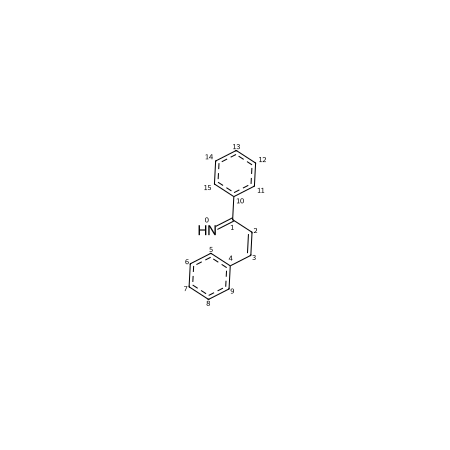 N=C(/C=C\c1ccccc1)c1ccccc1